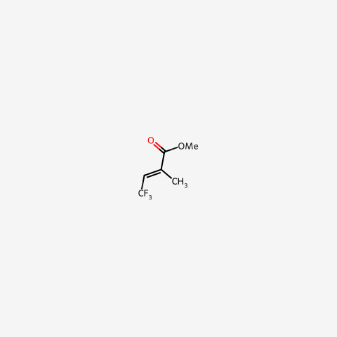 COC(=O)/C(C)=C/C(F)(F)F